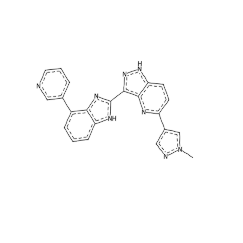 Cn1cc(-c2ccc3[nH]nc(-c4nc5c(-c6cccnc6)cccc5[nH]4)c3n2)cn1